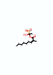 CCCCCCC=C(C)C(=O)OC(C)(O)P(=O)=O